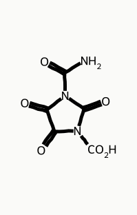 NC(=O)N1C(=O)C(=O)N(C(=O)O)C1=O